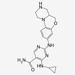 NC(=O)c1cnc(Nc2ccc3c(c2)OCC2CNCCN32)nc1NC1CC1